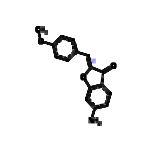 COc1ccc(/C=C2\Oc3cc(N)ccc3C2=O)cc1